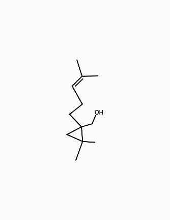 CC(C)=CCCC1(CO)CC1(C)C